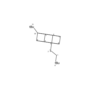 CC(C)(C)CSC12C3C4C1C1C2C3C41C(C)(C)C